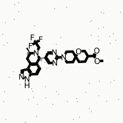 COC(=O)C1CCC2(CCN(c3ncc([C@@H]4c5ccc6[nH]ncc6c5C[C@@H](C)N4CC(F)(F)F)cn3)CC2)OC1